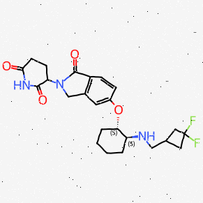 O=C1CCC(N2Cc3cc(O[C@H]4CCCC[C@@H]4NCC4CC(F)(F)C4)ccc3C2=O)C(=O)N1